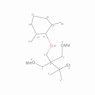 CCC(C)(C)C(COC)(COC)COC1C(C)CCCC1C